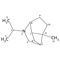 CC(C)N1CC2CC3C1CCC23C